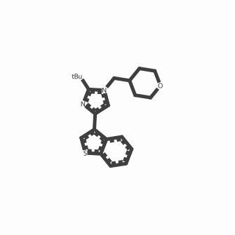 CC(C)(C)c1nc(-c2csc3ccccc23)cn1CC1CCOCC1